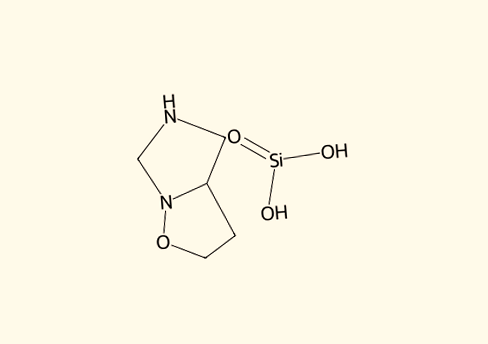 C1CC2CNCN2O1.O=[Si](O)O